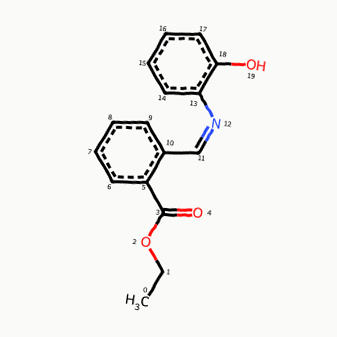 CCOC(=O)c1ccccc1/C=N\c1ccccc1O